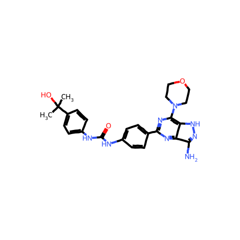 CC(C)(O)c1ccc(NC(=O)Nc2ccc(-c3nc(N4CCOCC4)c4[nH]nc(N)c4n3)cc2)cc1